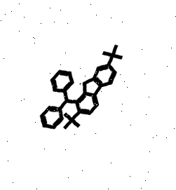 CC(C)(C)c1ccc2c(c1)[CH]c1c-2ccc(C(C)(C)C)c1C(c1ccccc1)c1ccccc1